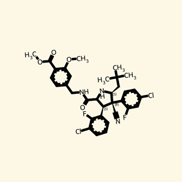 COC(=O)c1ccc(CNC(=O)C2N[C@@H](CC(C)(C)C)[C@](C#N)(c3ccc(Cl)cc3F)[C@H]2c2cccc(Cl)c2F)cc1OC